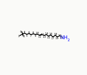 CC(C)(C)CCCCCCCC=CCCCCCCCCN